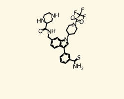 NC(=S)c1cccc(-c2cn(C3CCN(S(=O)(=O)C(F)(F)F)CC3)c3cc(CNC(=O)C4CNCCN4)ccc23)c1